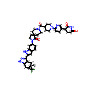 CC12Cc3[nH]nc(-c4cc5ccc(N6CCC7(CCN(C(=O)C8CCN(c9ccc(C%10CCC(=O)NC%10=O)cn9)CC8)CC7)C6=O)cc5[nH]4)c3C[C@@H]1C2(F)F